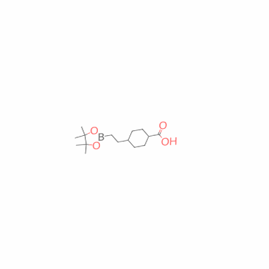 CC1(C)OB(CCC2CCC(C(=O)O)CC2)OC1(C)C